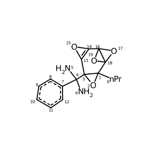 CCCC12OC1(C(N)(N)c1ccccc1)C1=C(O1)C13OC12O3